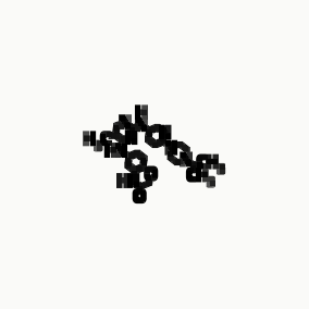 Cc1cnc(Nc2ccc(N3CCN(C(C)C)CC3)nc2)nc1Nc1ccc2c(c1)NC(=O)CO2